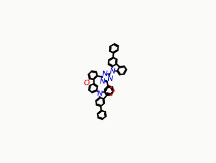 c1ccc(-c2ccc3c(c2)c2ccccc2n3-c2ccc3oc4cccc(-c5nc(-c6ccccc6)nc(-n6c7ccccc7c7cc(-c8ccccc8)ccc76)n5)c4c3c2)cc1